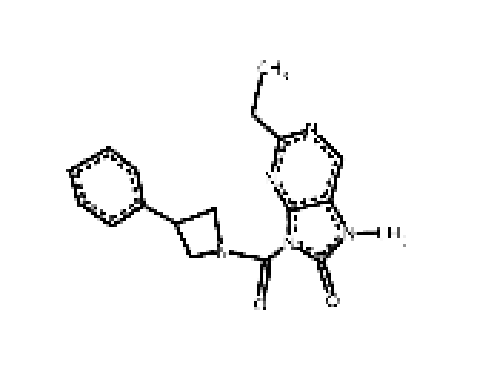 CCc1ncc2c(n1)n(C(=O)N1CC(c3ccccc3)C1)c(=O)n2C